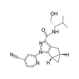 CC(C)[C@@H](CO)NC(=O)c1nn(-c2cc(C#N)ccn2)c2c1C[C@@H]1C[C@H]21